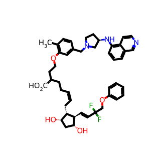 Cc1ccc(CN2CC[C@@H](Nc3cccc4cnccc34)C2)cc1OCCC(CC/C=C\C[C@@H]1[C@@H](/C=C/C(F)(F)COc2ccccc2)[C@H](O)C[C@@H]1O)C(=O)O